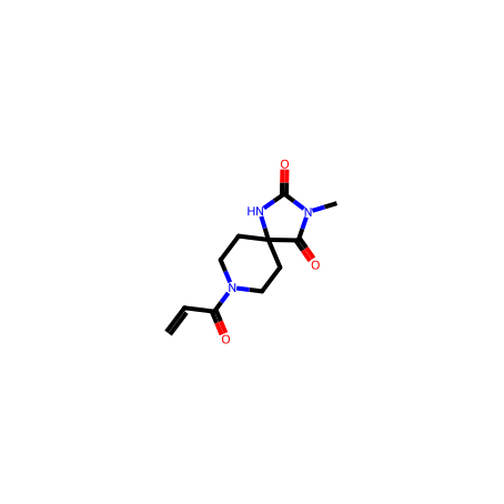 C=CC(=O)N1CCC2(CC1)NC(=O)N(C)C2=O